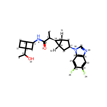 CC(C(=O)NC1CC2(C(C)O)CCC12)[C@H]1[C@@H]2C[C@@H](n3cnc4cc(F)c(F)cc43)C[C@@H]21